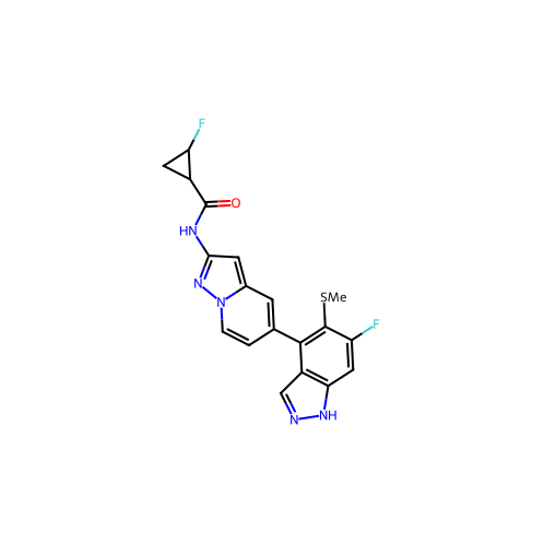 CSc1c(F)cc2[nH]ncc2c1-c1ccn2nc(NC(=O)C3CC3F)cc2c1